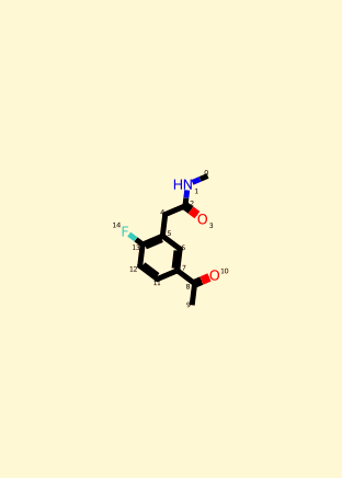 CNC(=O)Cc1cc(C(C)=O)ccc1F